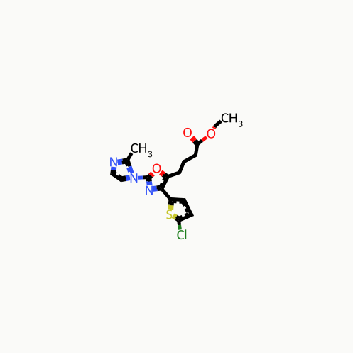 CCOC(=O)CCCc1oc(-n2ccnc2C)nc1-c1ccc(Cl)s1